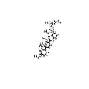 C=C/C(C)=C\N=C(/C)c1cccc(CN(C)C(=C)/C=C\C(=C)C2=CCC(C)=CC=C2)c1